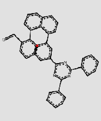 O=Cc1ccccc1-c1cccc2cccc(-c3cccc(-c4nc(-c5ccccc5)nc(-c5ccccc5)n4)c3)c12